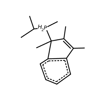 CC1=C(C)C(C)([PH2](C)C(C)C)c2ccccc21